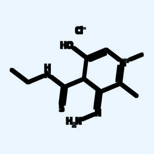 CCNC(=S)C1C(O)=C[N+](C)=C(C)C1=NN.[Cl-]